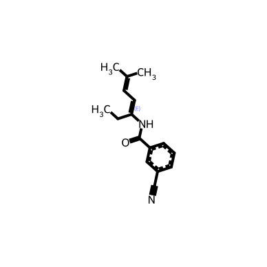 CC/C(=C\C=C(C)C)NC(=O)c1cccc(C#N)c1